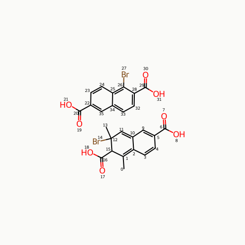 CC1=c2ccc(C(=O)O)cc2=CC(C)(Br)C1C(=O)O.O=C(O)c1ccc2c(Br)c(C(=O)O)ccc2c1